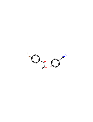 C=C(Oc1ccc(C#N)cc1)C(=O)c1ccc(SC)cc1